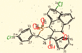 O=C(c1ccccc1)C1C(c2ccc(Cl)cc2)S(=O)(=O)C(c2ccc(Cl)cc2)CC1(O)c1ccccc1